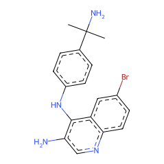 CC(C)(N)c1ccc(Nc2c(N)cnc3ccc(Br)cc23)cc1